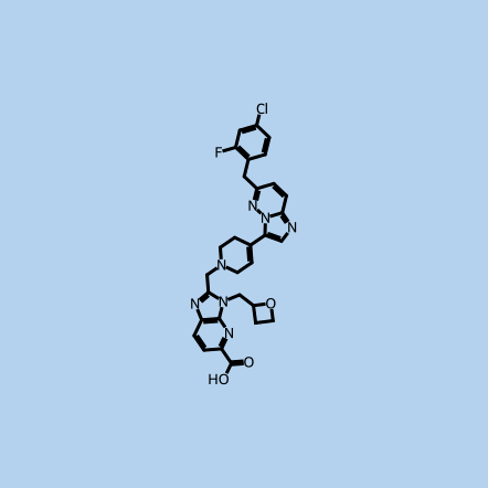 O=C(O)c1ccc2nc(CN3CC=C(c4cnc5ccc(Cc6ccc(Cl)cc6F)nn45)CC3)n(CC3CCO3)c2n1